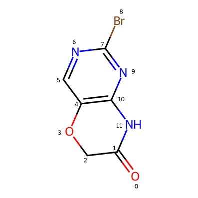 O=C1COc2cnc(Br)nc2N1